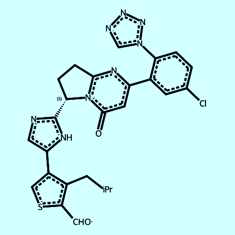 CC(C)Cc1c(-c2cnc([C@@H]3CCc4nc(-c5cc(Cl)ccc5-n5cnnn5)cc(=O)n43)[nH]2)csc1[C]=O